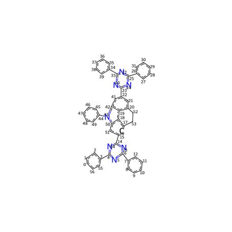 c1ccc(-c2nc(-c3ccccc3)nc(-c3cc4c5c6c(cc(-c7nc(-c8ccccc8)nc(-c8ccccc8)n7)cc6n(-c6ccccc6)c5c3)CC4)n2)cc1